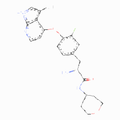 Cc1c[nH]c2nccc(Oc3ccc(C[C@H](N)C(=O)NC4CCOCC4)cc3F)c12